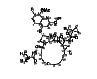 COc1c(F)ccc2c(O[C@@H]3C[C@H]4C(=O)N[C@]5(C(=O)NS(=O)(=O)C6(C)CC6)C[C@H]5/C=C\CCCCC[C@H](NC(=O)N(C)C)C(=O)N4C3)cc(OC(C)C)nc12